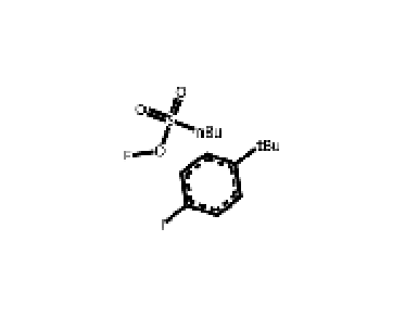 CC(C)(C)c1ccc(I)cc1.CCCCS(=O)(=O)OF